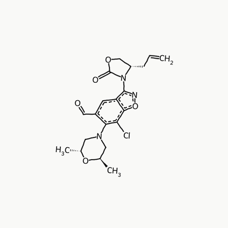 C=CC[C@H]1COC(=O)N1c1noc2c(Cl)c(N3C[C@@H](C)O[C@H](C)C3)c(C=O)cc12